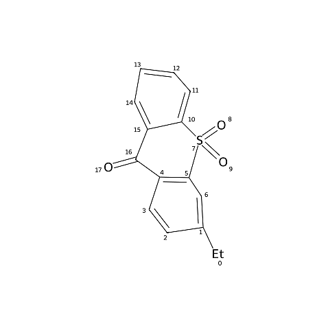 CCc1ccc2c(c1)S(=O)(=O)c1ccccc1C2=O